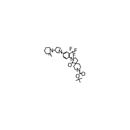 C[C@H]1CCCCN1C1CCN(c2ccc(N3CCC4(CCN(C(=O)OC(C)(C)C)CC4)C3=O)c(C(F)(F)F)c2)C1